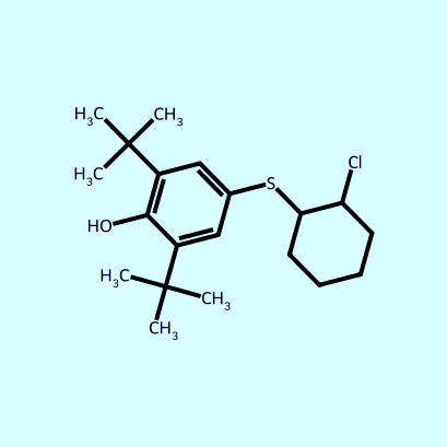 CC(C)(C)c1cc(SC2CCCCC2Cl)cc(C(C)(C)C)c1O